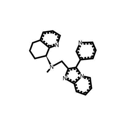 CN(Cc1nc2ccccn2c1-c1cccnc1)[C@H]1CCCc2cccnc21